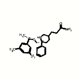 C[C@H](OC[C@@]1(c2ccccc2)CCC(CCC(N)=O)CN1)c1cc(C(F)(F)F)cc(C(F)(F)F)c1